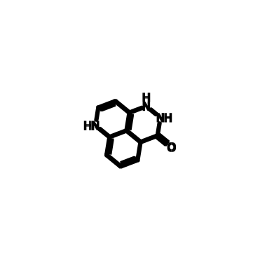 O=C1NNC2=C3C(=CC=CC13)NC=C2